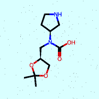 CC1(C)OC[C@H](CN(C(=O)O)[C@H]2CCNC2)O1